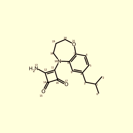 CC(C)Cc1ccc2c(c1)N(c1c(N)c(=O)c1=O)CCCO2